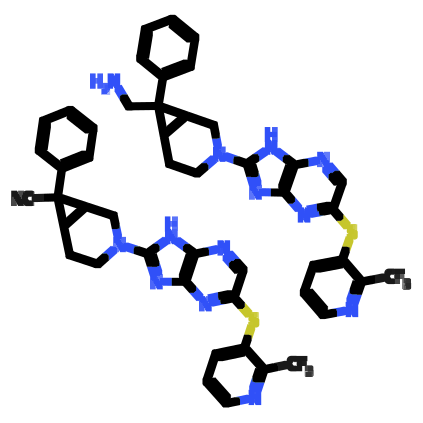 N#CC1(c2ccccc2)C2CCN(c3nc4nc(Sc5cccnc5C(F)(F)F)cnc4[nH]3)CC21.NCC1(c2ccccc2)C2CCN(c3nc4nc(Sc5cccnc5C(F)(F)F)cnc4[nH]3)CC21